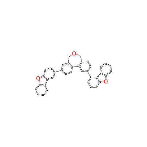 c1ccc2c(c1)oc1ccc(-c3ccc4c(c3)COCc3ccc(-c5cccc6oc7ccccc7c56)cc3-4)cc12